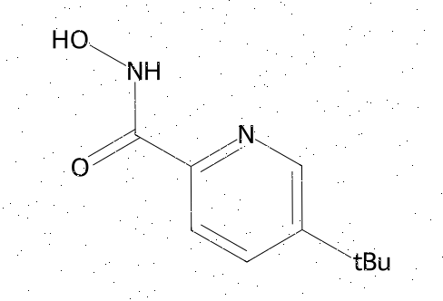 CC(C)(C)c1ccc(C(=O)NO)nc1